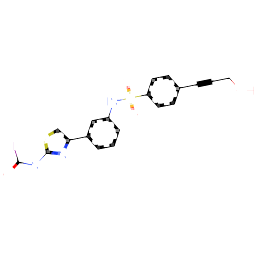 O=C(I)Nc1nc(-c2cccc(NS(=O)(=O)c3ccc(C#CCO)cc3)c2)cs1